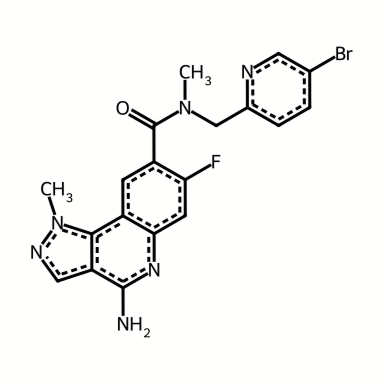 CN(Cc1ccc(Br)cn1)C(=O)c1cc2c(cc1F)nc(N)c1cnn(C)c12